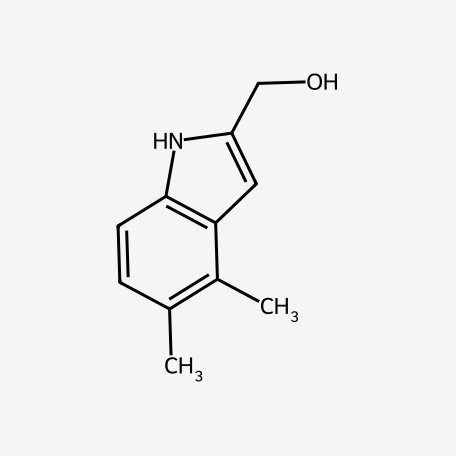 Cc1ccc2[nH]c(CO)cc2c1C